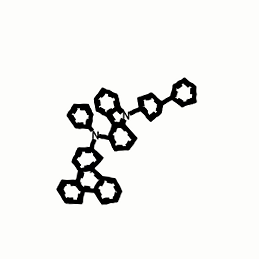 c1ccc(-c2ccc(-n3c4ccccc4c4c(N(c5ccccc5)c5ccc6c7ccccc7c7ccccc7c6c5)cccc43)cc2)cc1